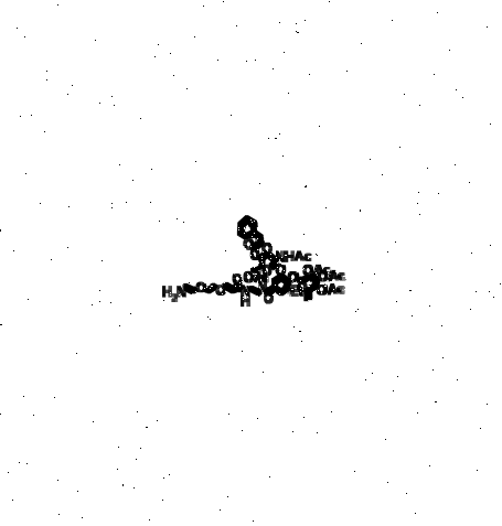 CC[C@@H]1CC(C(=O)NCCNC(=O)CCOCCOCCN)CC(O[C@@H]2O[C@@H](COC(C)=O)C3OC(=O)[C@@H](CC4CCCCC4)OC3C2NC(C)=O)C1OC1OC(C)C(OC(C)=O)C(OC(C)=O)C1OC(C)=O